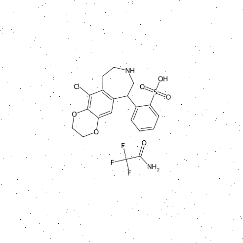 NC(=O)C(F)(F)F.O=S(=O)(O)c1ccccc1C1CNCCc2c1cc1c(c2Cl)OCCO1